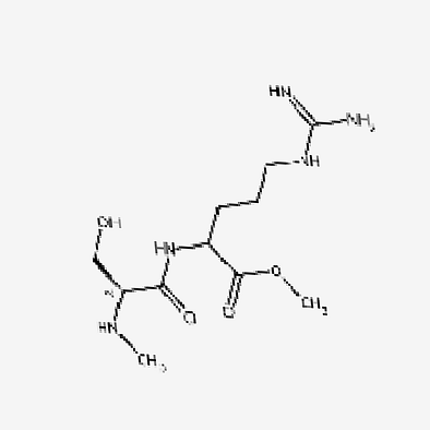 CN[C@@H](CO)C(=O)NC(CCCNC(=N)N)C(=O)OC